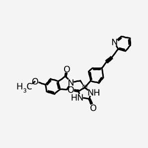 COc1ccc2c(c1)C(=O)N(C[C@@]1(c3ccc(C#Cc4ccccn4)cc3)NC(=O)NC1=O)C2